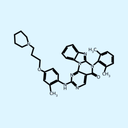 Cc1cc(OCCCN2CCCCC2)ccc1Nc1ncc2c(=O)n(-c3c(C)cccc3C)c3nc4ccccc4n3c2n1